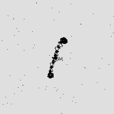 OC(COCCOCCOCc1ccccc1)COCCOCCOCc1ccccc1